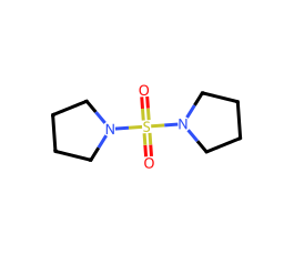 O=S(=O)(N1CCCC1)N1CCCC1